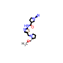 COC[C@H]1CCCN1Cc1cnc(NC(=O)C2CCN(C#N)C2)s1